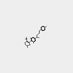 CC1CCC2=C(C1)c1c(O)cc(C(C)CCCc3ccc(F)cc3)cc1OC2(C)C